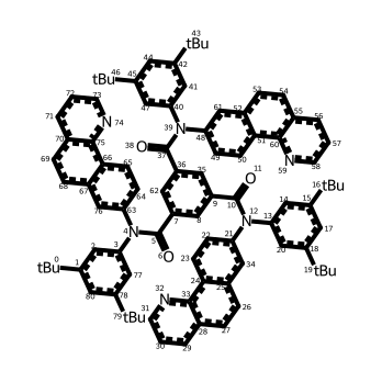 CC(C)(C)c1cc(N(C(=O)c2cc(C(=O)N(c3cc(C(C)(C)C)cc(C(C)(C)C)c3)c3ccc4c(ccc5cccnc54)c3)cc(C(=O)N(c3cc(C(C)(C)C)cc(C(C)(C)C)c3)c3ccc4c(ccc5cccnc54)c3)c2)c2ccc3c(ccc4cccnc43)c2)cc(C(C)(C)C)c1